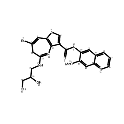 CCC1=Cc2scc(C(=O)Nc3cc4cccnc4cc3OC)c2N=C(NCC(O)CO)C1